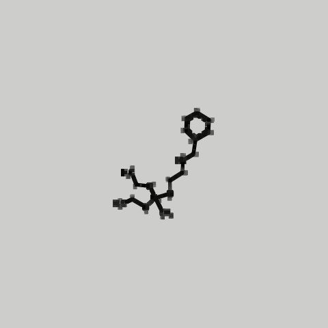 CCO[Si](C)(OCC)OCCNCc1ccccc1